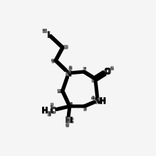 CCC1(C)CNC(=O)CN(CCI)C1